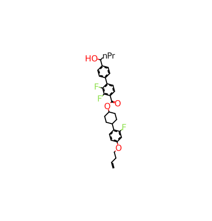 C=CCCOc1ccc(C2CCC(OC(=O)c3ccc(-c4ccc(C(O)CCC)cc4)c(F)c3F)CC2)c(F)c1